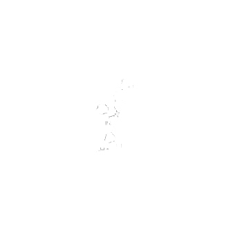 COc1ccc(CNc2nnc(N3CCC(O)(CF)CC3)c3ccccc23)cc1Cl